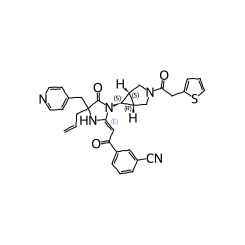 C=CCC1(Cc2ccncc2)N/C(=C\C(=O)c2cccc(C#N)c2)N([C@H]2[C@@H]3CN(C(=O)Cc4cccs4)C[C@@H]32)C1=O